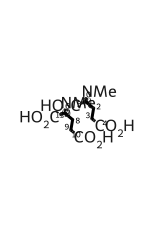 CN[C@@H](CCC(=O)O)C(=O)O.CN[C@@H](CCC(=O)O)C(=O)O